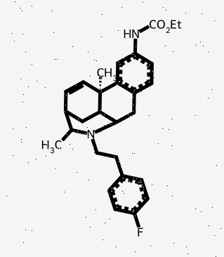 CCOC(=O)Nc1ccc2c(c1)[C@]1(C)C=CC3CC1C(C2)N(CCc1ccc(F)cc1)C3C